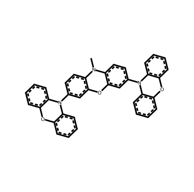 CN1c2ccc(N3c4ccccc4Oc4ccccc43)cc2Oc2cc(N3c4ccccc4Oc4ccccc43)ccc21